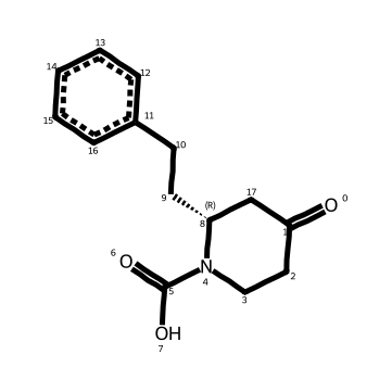 O=C1CCN(C(=O)O)[C@H](CCc2ccccc2)C1